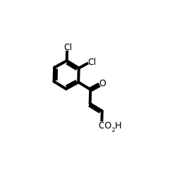 O=C(O)C=CC(=O)c1cccc(Cl)c1Cl